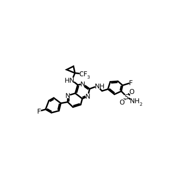 NS(=O)(=O)c1cc(CNc2nc(NC3(C(F)(F)F)CC3)c3nc(-c4ccc(F)cc4)ccc3n2)ccc1F